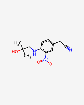 CC(C)(O)CNc1ccc(CC#N)cc1[N+](=O)[O-]